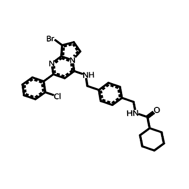 O=C(NCc1ccc(CNc2cc(-c3ccccc3Cl)nc3c(Br)ccn23)cc1)C1CCCCC1